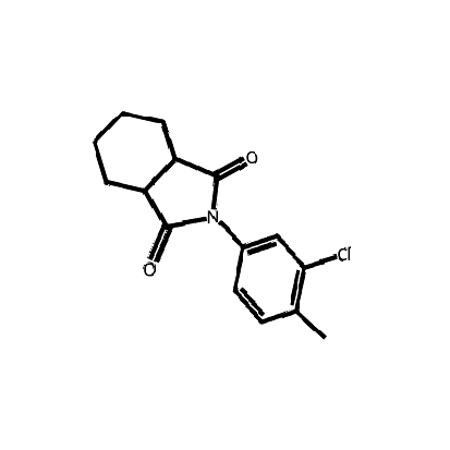 Cc1ccc(N2C(=O)C3CCCCC3C2=O)cc1Cl